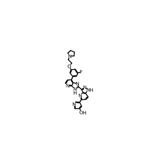 Oc1cncc(-c2ccc3[nH]nc(-c4nc5c(-c6cc(F)cc(OCCN7CCCC7)c6)ccnc5[nH]4)c3n2)c1